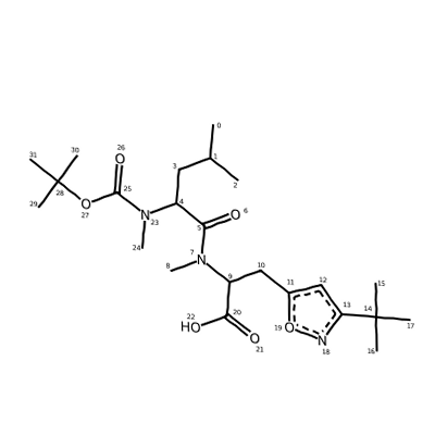 CC(C)CC(C(=O)N(C)C(Cc1cc(C(C)(C)C)no1)C(=O)O)N(C)C(=O)OC(C)(C)C